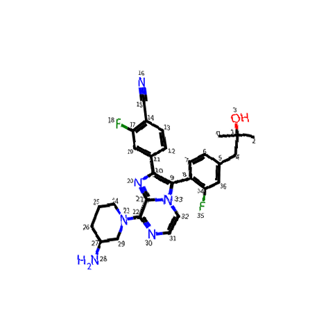 CC(C)(O)Cc1ccc(-c2c(-c3ccc(C#N)c(F)c3)nc3c(N4CCCC(N)C4)nccn23)c(F)c1